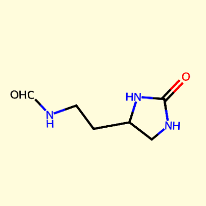 O=CNCCC1CNC(=O)N1